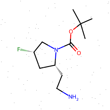 CC(C)(C)OC(=O)N1C[C@@H](F)C[C@H]1CCN